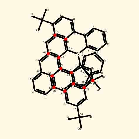 CC(C)(C)c1ccc(-c2ccccc2N(c2ccccc2-c2cccc3cccc(-c4cc(C(C)(C)C)cc(C(C)(C)C)c4)c23)c2ccccc2-c2cccc3oc4ccccc4c23)cc1